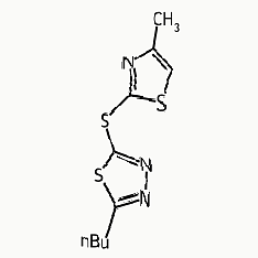 CCCCc1nnc(Sc2nc(C)cs2)s1